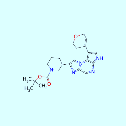 CC(C)(C)OC(=O)N1CCCC(c2cn3c(cnc4[nH]cc(C5=CCOCC5)c43)n2)C1